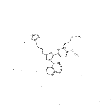 COC(=O)[C@H](CCSC)NC(=O)c1cn(CCCc2c[nH]cn2)cc1-c1cccc2ccccc12